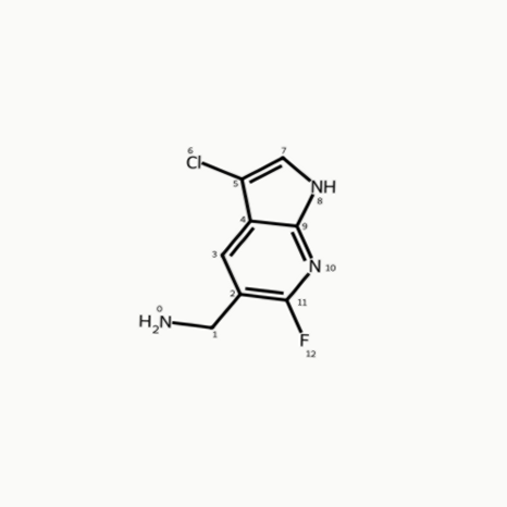 NCc1cc2c(Cl)c[nH]c2nc1F